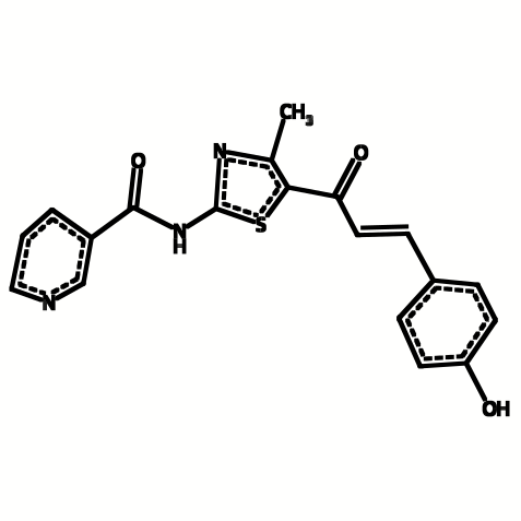 Cc1nc(NC(=O)c2cccnc2)sc1C(=O)C=Cc1ccc(O)cc1